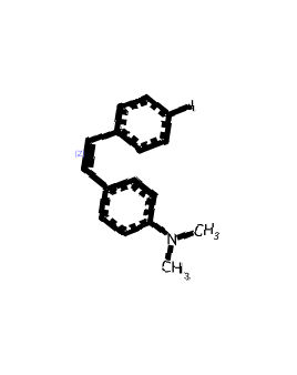 CN(C)c1ccc(/C=C\c2ccc(I)cc2)cc1